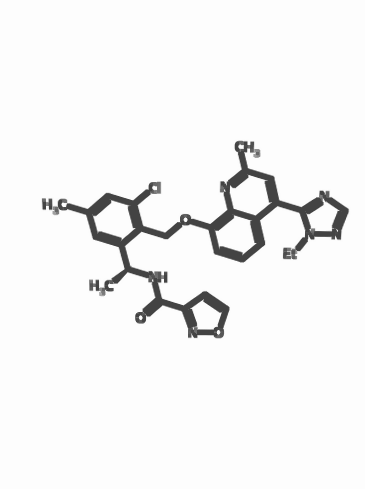 CCn1ncnc1-c1cc(C)nc2c(OCc3c(Cl)cc(C)cc3[C@H](C)NC(=O)c3ccon3)cccc12